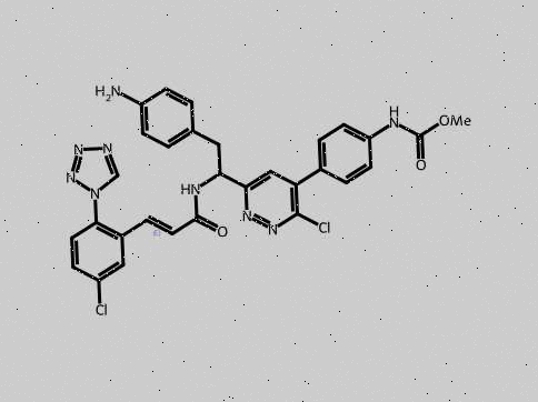 COC(=O)Nc1ccc(-c2cc(C(Cc3ccc(N)cc3)NC(=O)/C=C/c3cc(Cl)ccc3-n3cnnn3)nnc2Cl)cc1